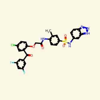 Cc1cc(S(=O)(=O)Nc2ccc3nn[nH]c3c2)ccc1NC(=O)COc1ccc(Cl)cc1C(=O)c1cc(F)cc(F)c1